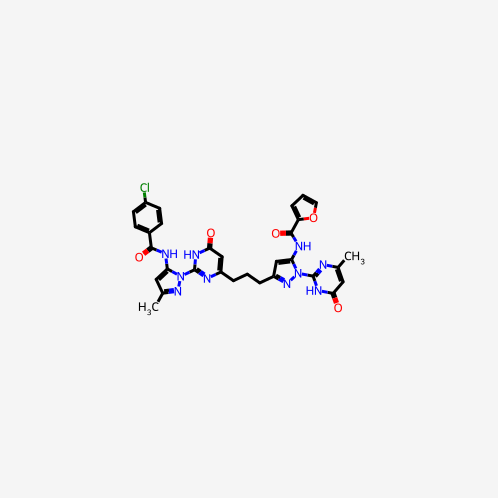 Cc1cc(=O)[nH]c(-n2nc(CCCc3cc(=O)[nH]c(-n4nc(C)cc4NC(=O)c4ccc(Cl)cc4)n3)cc2NC(=O)c2ccco2)n1